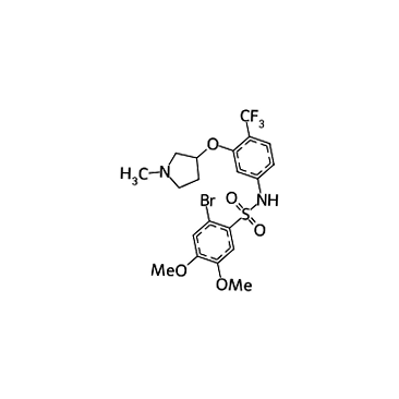 COc1cc(Br)c(S(=O)(=O)Nc2ccc(C(F)(F)F)c(OC3CCN(C)C3)c2)cc1OC